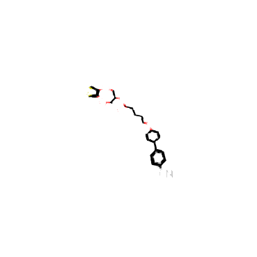 N#Cc1ccc(-c2ccc(OCCCCC(=O)OC3COc4cscc4OC3)cc2)cc1